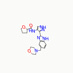 O=C(Nc1c[nH]nc1-c1nc2cc(CN3CCOCC3)ccc2[nH]1)C1CCCO1